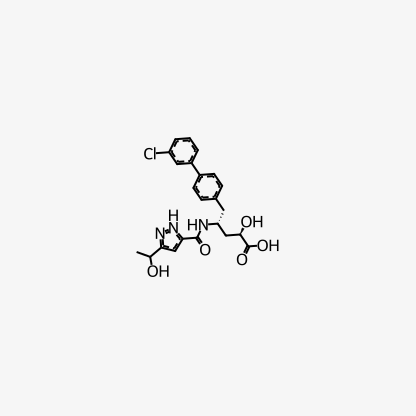 CC(O)c1cc(C(=O)N[C@H](Cc2ccc(-c3cccc(Cl)c3)cc2)C[C@@H](O)C(=O)O)[nH]n1